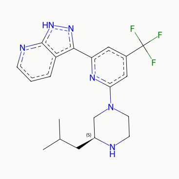 CC(C)C[C@H]1CN(c2cc(C(F)(F)F)cc(-c3n[nH]c4ncccc34)n2)CCN1